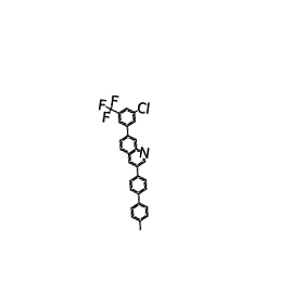 Cc1ccc(-c2ccc(-c3cnc4cc(-c5cc(Cl)cc(C(F)(F)F)c5)ccc4c3)cc2)cc1